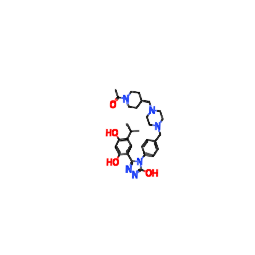 CC(=O)N1CCC(CN2CCN(Cc3ccc(-n4c(O)nnc4-c4cc(C(C)C)c(O)cc4O)cc3)CC2)CC1